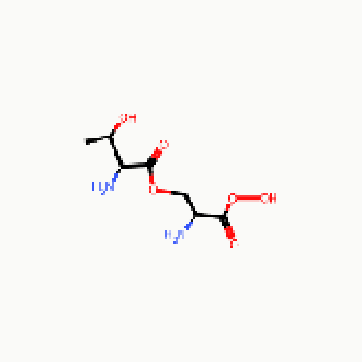 C[C@@H](O)[C@H](N)C(=O)OC[C@H](N)C(=O)OO